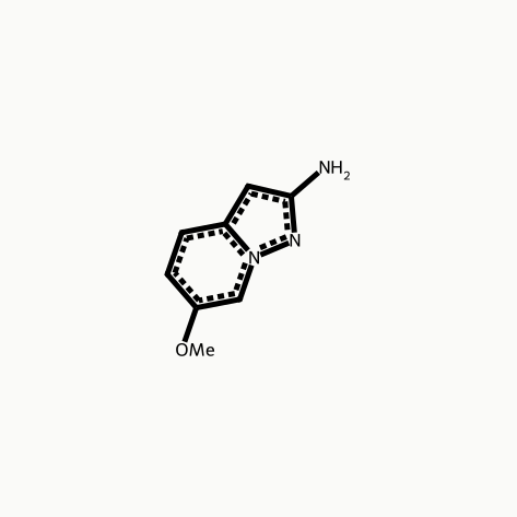 COc1ccc2cc(N)nn2c1